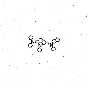 C(=C\N(c1ccccc1)c1ccc2ccccc2c1)/c1cc2ccc3cc(N(c4ccccc4)c4ccccc4)cc4c3c2c(c1)n4-c1ccccc1